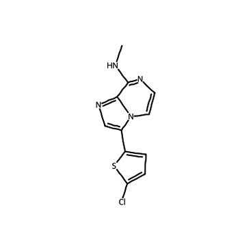 CNc1nccn2c(-c3ccc(Cl)s3)cnc12